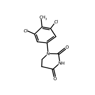 Cc1c(Cl)cc(N2CCC(=O)NC2=O)cc1Cl